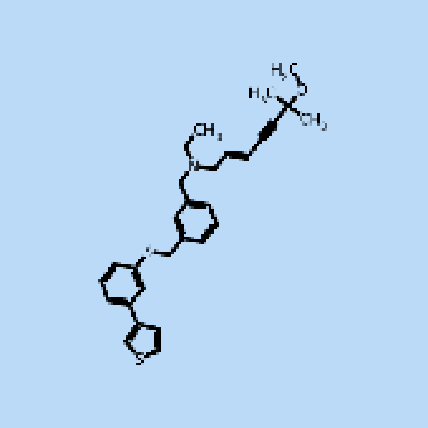 CCN(CC=CC#CC(C)(C)OC)Cc1cccc(CSc2cccc(-c3ccsc3)c2)c1